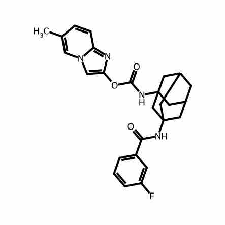 Cc1ccc2nc(OC(=O)NC34CC5CC(C3)CC(NC(=O)c3cccc(F)c3)(C5)C4)cn2c1